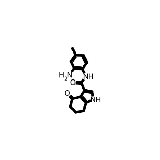 Cc1ccc(NC(=O)c2c[nH]c3c2C(=O)CCC3)c(N)c1